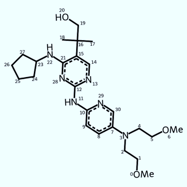 COCCN(CCOC)c1ccc(Nc2ncc(C(C)(C)CO)c(NC3CCCC3)n2)nc1